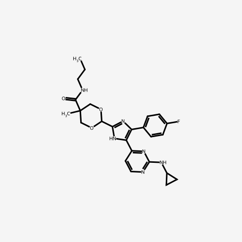 CCCNC(=O)C1(C)COC(c2nc(-c3ccc(F)cc3)c(-c3ccnc(NC4CC4)n3)[nH]2)OC1